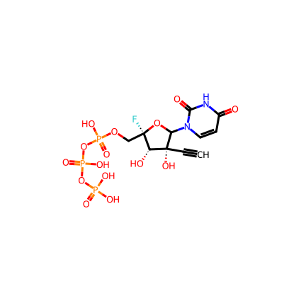 C#C[C@]1(O)C(n2ccc(=O)[nH]c2=O)O[C@](F)(COP(=O)(O)OP(=O)(O)OP(=O)(O)O)[C@H]1O